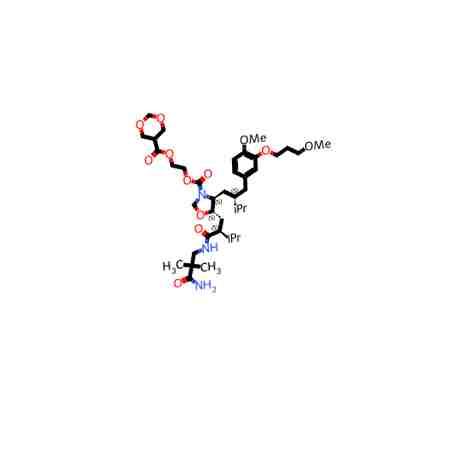 COCCCOc1cc(C[C@@H](C[C@H]2[C@H](C[C@H](C(=O)NCC(C)(C)C(N)=O)C(C)C)OCN2C(=O)OCCOC(=O)C2COCOC2)C(C)C)ccc1OC